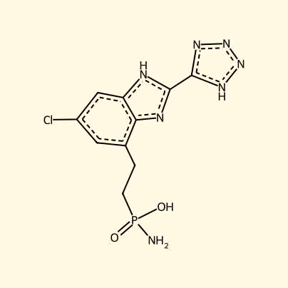 NP(=O)(O)CCc1cc(Cl)cc2[nH]c(-c3nnn[nH]3)nc12